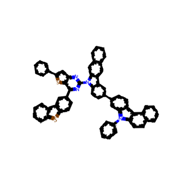 c1ccc(-c2cc3nc(-n4c5ccc(-c6ccc7c8c9ccccc9ccc8n(-c8ccccc8)c7c6)cc5c5cc6ccccc6cc54)nc(-c4ccc5sc6ccccc6c5c4)c3s2)cc1